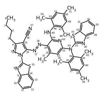 CCCCc1nn(-c2nc3ccccc3s2)c(N=Nc2c(C)cc(N(c3nc4ccccc4s3)c3c(C)cc(C)cc3C)nc2Nc2c(C)cc(C)cc2C)c1C#N